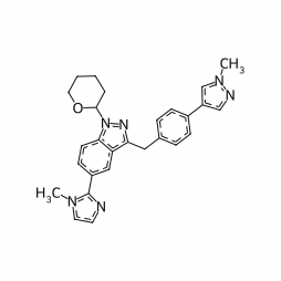 Cn1cc(-c2ccc(Cc3nn(C4CCCCO4)c4ccc(-c5nccn5C)cc34)cc2)cn1